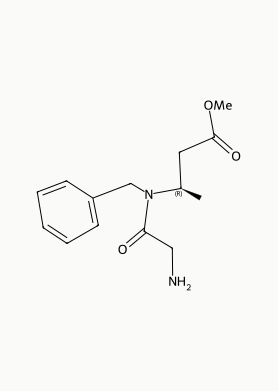 COC(=O)C[C@@H](C)N(Cc1ccccc1)C(=O)CN